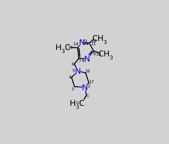 CCN1CCN(Cc2nc(C)c(C)nc2C)CC1